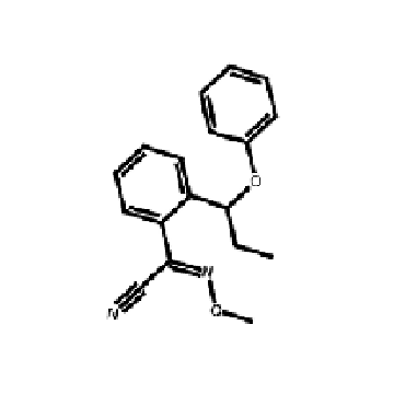 CCC(Oc1ccccc1)c1ccccc1C(C#N)=NOC